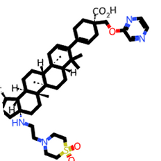 CC[C@@H]1CC[C@]2(NCCN3CCS(=O)(=O)CC3)CC[C@]3(C)[C@H](CC[C@@H]4[C@@]5(C)CC=C(C6=CC[C@@](COc7cnccn7)(C(=O)O)CC6)C(C)(C)[C@@H]5CC[C@]43C)[C@@H]12